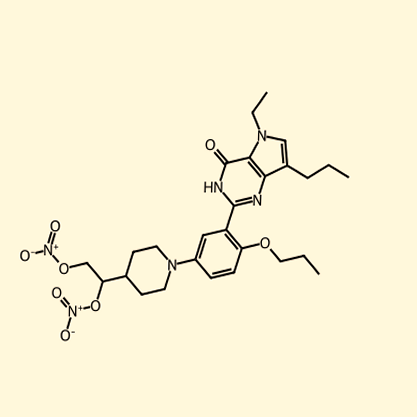 CCCOc1ccc(N2CCC(C(CO[N+](=O)[O-])O[N+](=O)[O-])CC2)cc1-c1nc2c(CCC)cn(CC)c2c(=O)[nH]1